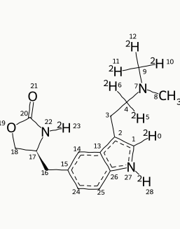 [2H]c1c(CC([2H])([2H])N(C)C([2H])([2H])[2H])c2cc(C[C@H]3COC(=O)N3[2H])ccc2n1[2H]